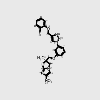 C[C@]1(COc2cccc(-n3cc(COc4ccccc4F)nn3)c2)Cn2cc([N+](=O)[O-])nc2O1